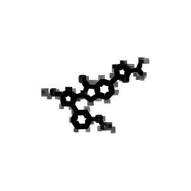 COc1cccc(-c2cn(C)nc2N2Cc3ccc(-c4nnc(C(F)F)o4)cc3C2=O)c1